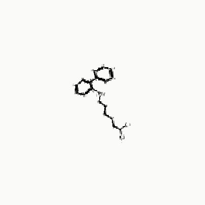 ClC(Cl)CCCCCPc1ccccc1-c1ccccc1